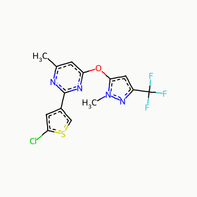 Cc1cc(Oc2cc(C(F)(F)F)nn2C)nc(-c2csc(Cl)c2)n1